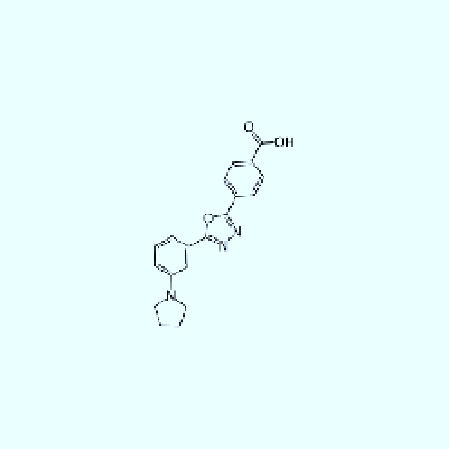 O=C(O)c1ccc(-c2nnc(-c3cccc(N4CCCC4)c3)o2)cc1